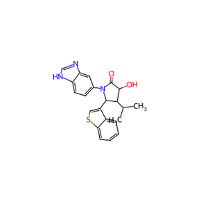 CC(C)C1C(O)C(=O)N(c2ccc3[nH]cnc3c2)C1c1csc2ccccc12